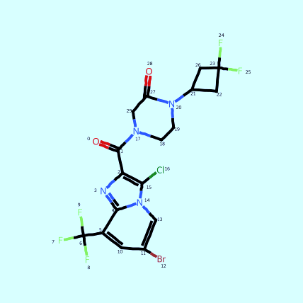 O=C(c1nc2c(C(F)(F)F)cc(Br)cn2c1Cl)N1CCN(C2CC(F)(F)C2)C(=O)C1